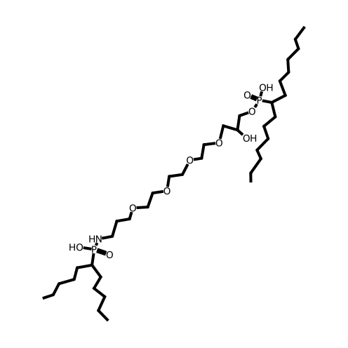 CCCCCCCC(CCCCCCC)P(=O)(O)OCC(O)COCCOCCOCCOCCCNP(=O)(O)C(CCCCC)CCCCC